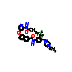 CC(=O)Nc1cc(Oc2ccc3ccc(C(=O)Nc4ccc(CN5CCN(C)CC5)c(C(F)(F)F)c4)cc3c2)ccn1